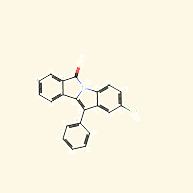 O=C1c2ccccc2-c2c(-c3ccccc3)c3cc(Cl)ccc3n21